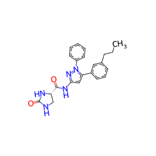 CCCc1cccc(-c2cc(NC(=O)[C@@H]3CNC(=O)N3)nn2-c2ccccc2)c1